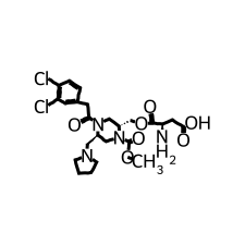 COC(=O)N1C[C@@H](CN2CCCC2)N(C(=O)Cc2ccc(Cl)c(Cl)c2)C[C@@H]1COC(=O)[C@H](N)CC(=O)O